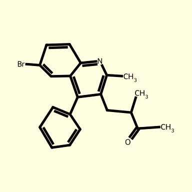 CC(=O)C(C)Cc1c(C)nc2ccc(Br)cc2c1-c1ccccc1